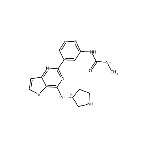 CNC(=O)Nc1cc(-c2nc(N[C@@H]3CCNC3)c3sccc3n2)ccn1